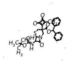 Cc1c(C2(C(=O)OC(c3ccccc3)c3ccccc3)CS[C@@H]3C(NC(=O)OC(C)(C)C)C(=O)N3C2)c(=O)c1=O